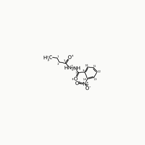 CCCC(=O)NNC(=O)c1ccccc1[N+](=O)[O-]